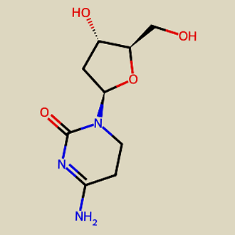 NC1=NC(=O)N([C@H]2C[C@H](O)[C@@H](CO)O2)CC1